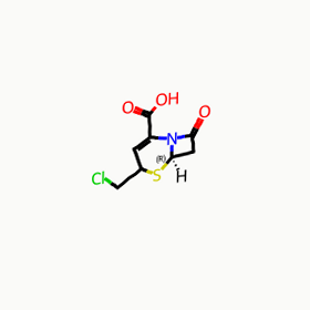 O=C(O)C1=CC(CCl)S[C@@H]2CC(=O)N12